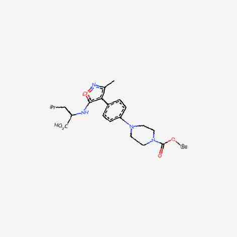 Cc1noc(NC(CC(C)C)C(=O)O)c1-c1ccc(N2CCN(C(=O)OC(C)(C)C)CC2)cc1